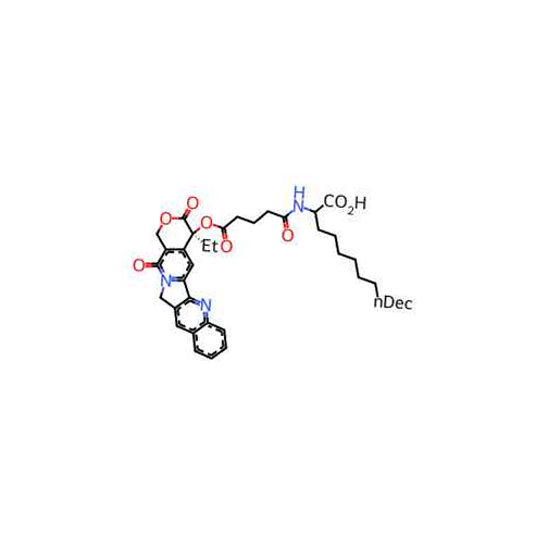 CCCCCCCCCCCCCCCCC(NC(=O)CCCC(=O)O[C@]1(CC)C(=O)OCc2c1cc1n(c2=O)Cc2cc3ccccc3nc2-1)C(=O)O